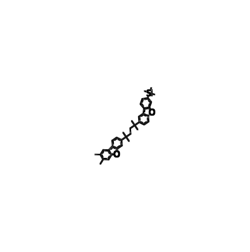 Cc1cc2oc3cc(C(C)(C)CCC(C)(C)c4ccc5oc6cc([Si](C)(C)C)ccc6c5c4)ccc3c2cc1C